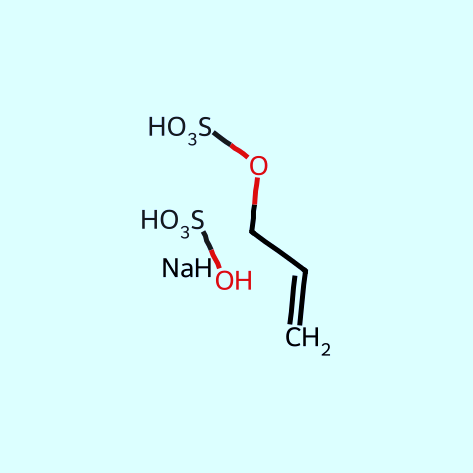 C=CCOS(=O)(=O)O.O=S(=O)(O)O.[NaH]